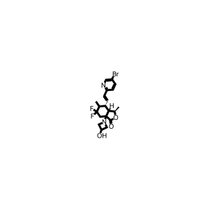 CC1[C@H](C=Cc2ccc(Br)cn2)[C@@H]2[C@@H](C)OC(=O)C2(N2CC(O)C2)CC1(F)F